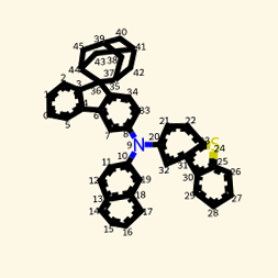 c1ccc2c(c1)-c1cc(N(c3ccc4ccccc4c3)c3ccc4sc5ccccc5c4c3)ccc1C21C2CC3CC(C2)CC1C3